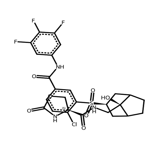 O=C1N[C@H](C(=O)NC[C@]2(O)C3CCC2C[C@@H](S(=O)(=O)c2cc(C(=O)Nc4cc(F)c(F)c(F)c4)ccc2Cl)C3)CO1